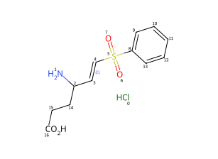 Cl.NC(/C=C/S(=O)(=O)c1ccccc1)CCC(=O)O